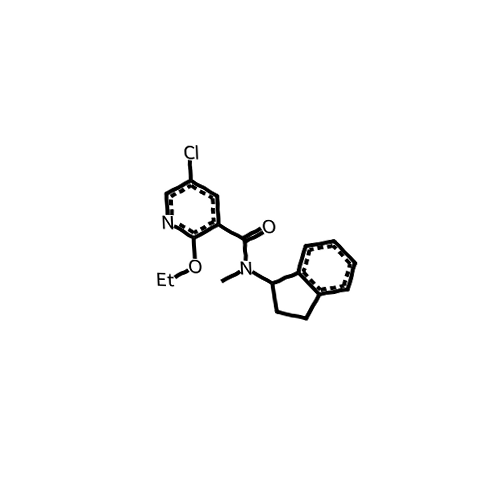 CCOc1ncc(Cl)cc1C(=O)N(C)C1CCc2ccccc21